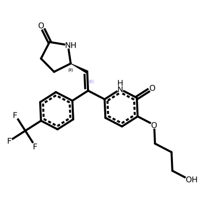 O=C1CC[C@H](/C=C(\c2ccc(C(F)(F)F)cc2)c2ccc(OCCCO)c(=O)[nH]2)N1